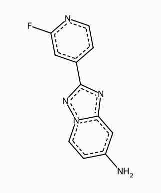 Nc1ccn2nc(-c3ccnc(F)c3)nc2c1